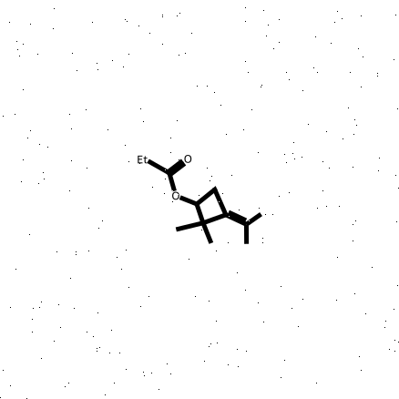 CCC(=O)OC1CC(=C(C)C)C1(C)C